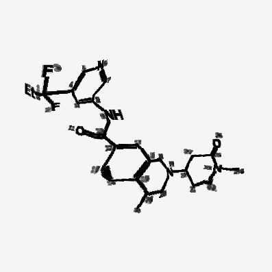 CCC(F)(F)c1cncc(NC(=O)c2ccc3c(c2)CN(C2CCN(C)C(=O)C2)CC3C)c1